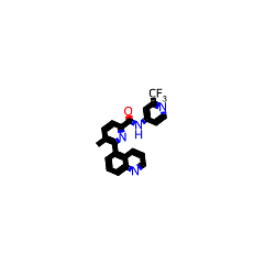 Cc1ccc(C(=O)Nc2ccnc(C(F)(F)F)c2)nc1-c1cccc2ncccc12